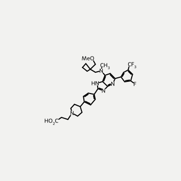 COCC1(CN(C)c2cc(-c3cc(F)cc(C(F)(F)F)c3)nc3nc(-c4ccc(C5CCN(CCC(=O)O)CC5)cc4)[nH]c23)CCC1